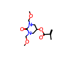 C=C(C)C(=O)OC1CN(COC)C(=O)N(COC)C1